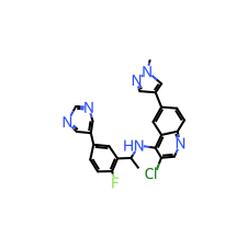 CC(Nc1c(Cl)cnc2ccc(-c3cnn(C)c3)cc12)c1cc(-c2cncnc2)ccc1F